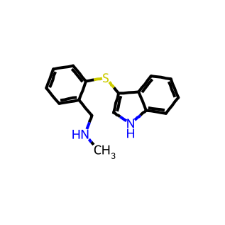 CNCc1ccccc1Sc1c[nH]c2ccccc12